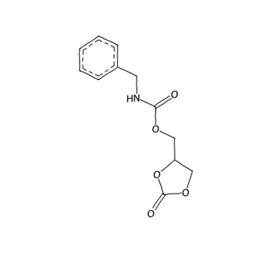 O=C(NCc1ccccc1)OCC1COC(=O)O1